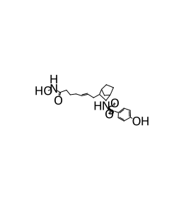 O=C(CCCC=CCC1C2CCC(C2)C1NS(=O)(=O)c1ccc(O)cc1)NO